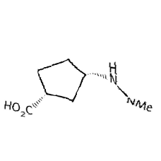 CNN[C@H]1CC[C@@H](C(=O)O)C1